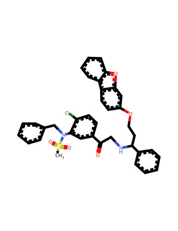 CS(=O)(=O)N(Cc1ccccc1)c1cc(C(=O)CNC(CCOc2ccc3c(c2)oc2ccccc23)c2ccccc2)ccc1Cl